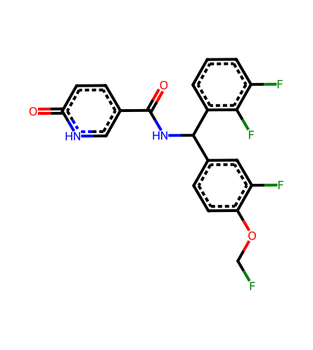 O=C(NC(c1ccc(OCF)c(F)c1)c1cccc(F)c1F)c1ccc(=O)[nH]c1